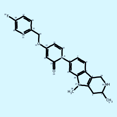 CC1Cc2c(c3ccc(-n4ccc(OCc5ccc(F)cn5)cc4=O)cc3n2C)CN1